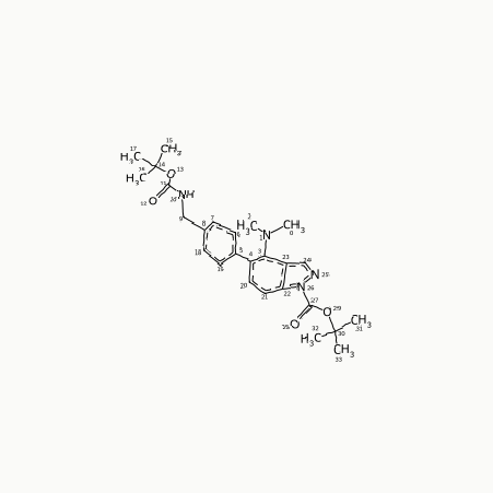 CN(C)c1c(-c2ccc(CNC(=O)OC(C)(C)C)cc2)ccc2c1cnn2C(=O)OC(C)(C)C